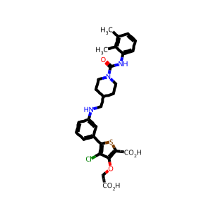 Cc1cccc(NC(=O)N2CCC(CNc3cccc(-c4sc(C(=O)O)c(OCC(=O)O)c4Cl)c3)CC2)c1C